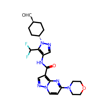 O=C[C@H]1CC[C@H](n2ncc(NC(=O)c3cnn4ccc(N5CCOCC5)nc34)c2C(F)F)CC1